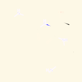 CC(=O)[C@H](CCN)NC(=O)[C@@H](NC(=O)C1CNCc2ccccc21)[C@H](C)O